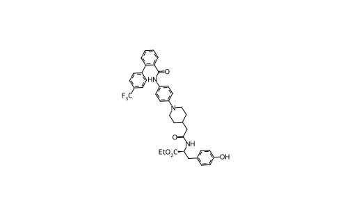 CCOC(=O)[C@H](Cc1ccc(O)cc1)NC(=O)CC1CCN(c2ccc(NC(=O)c3ccccc3-c3ccc(C(F)(F)F)cc3)cc2)CC1